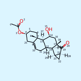 CC(=O)O[C@H]1CC[C@@]2(C)C(=CC[C@@H]3[C@@H]2[C@@H](O)C[C@]2(C)C(=O)[C@H]4C[C@H]4[C@@H]32)C1